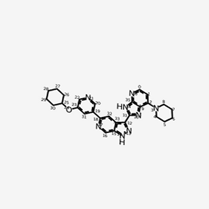 c1cc(N2CCCCC2)c2nc(-c3n[nH]c4cnc(-c5cncc(OC6CCCCC6)c5)cc34)[nH]c2n1